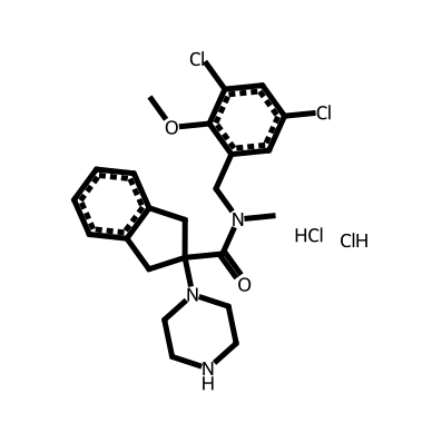 COc1c(Cl)cc(Cl)cc1CN(C)C(=O)C1(N2CCNCC2)Cc2ccccc2C1.Cl.Cl